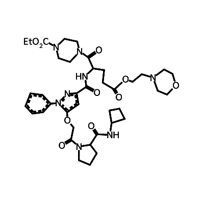 CCOC(=O)N1CCN(C(=O)C(CCC(=O)OCCN2CCOCC2)NC(=O)c2cc(OCC(=O)N3CCCC3C(=O)NC3CCC3)n(-c3ccccc3)n2)CC1